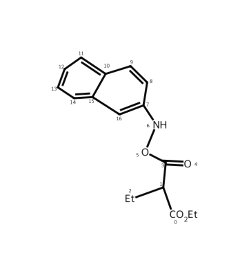 CCOC(=O)C(CC)C(=O)ONc1ccc2ccccc2c1